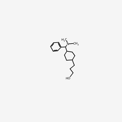 CN(C)C(c1ccccc1)C1CCC(CCCO)CC1